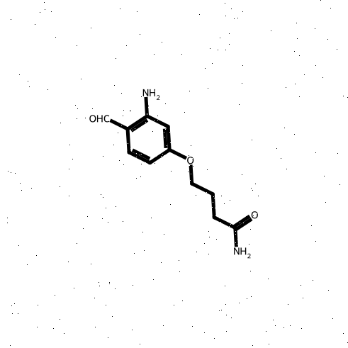 NC(=O)CCCOc1ccc(C=O)c(N)c1